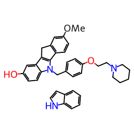 COc1ccc2c(c1)Cc1c-2n(Cc2ccc(OCCN3CCCCC3)cc2)c2ccc(O)cc12.c1ccc2[nH]ccc2c1